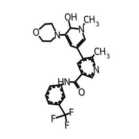 Cc1ncc(C(=O)Nc2cccc(C(F)(F)F)c2)cc1C1=CN(C)C(O)C(N2CCOCC2)=C1